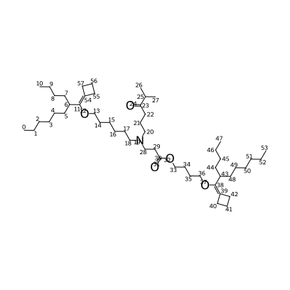 CCCCCCC(CCCC)C(OCCCCCCN(CCCC(=O)C(C)C)CCC(=O)OCCCCOC(=C1CCC1)C(CCCC)CCCCCC)=C1CCC1